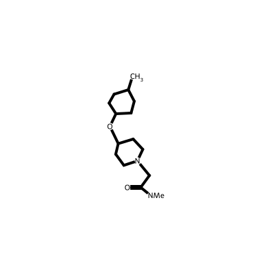 CNC(=O)CN1CCC(OC2CCC(C)CC2)CC1